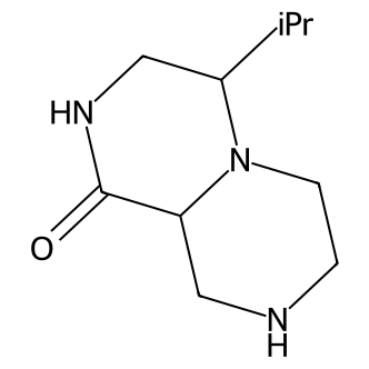 CC(C)C1CNC(=O)C2CNCCN21